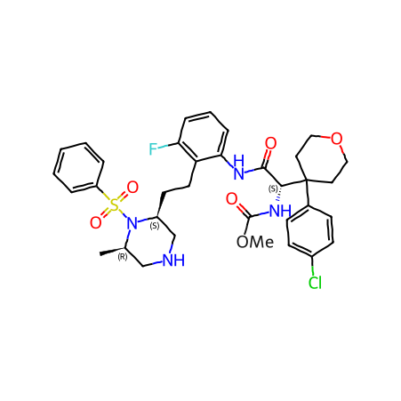 COC(=O)N[C@H](C(=O)Nc1cccc(F)c1CC[C@H]1CNC[C@@H](C)N1S(=O)(=O)c1ccccc1)C1(c2ccc(Cl)cc2)CCOCC1